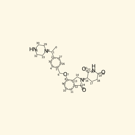 CC(c1ccc(COc2cccc3c2CN(C2CCC(=O)NC2=O)C3=O)cc1)N1CCNCC1